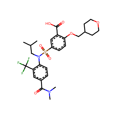 CC(C)CN(c1ccc(C(=O)N(C)C)cc1C(F)(F)F)S(=O)(=O)c1ccc(OCC2CCOCC2)c(C(=O)O)c1